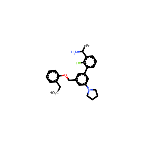 CCCC(N)c1cccc(-c2cc(COc3ccccc3CC(=O)O)cc(N3CCCC3)c2)c1F